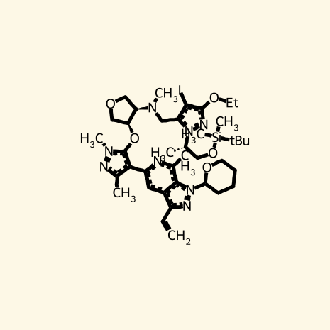 C=Cc1nn(C2CCCCO2)c2c(C)nc(-c3c(C)nn(C)c3O[C@H]3COC[C@H]3N(C)Cc3c(I)c(OCC)nn3[C@@H](C)CO[Si](C)(C)C(C)(C)C)cc12